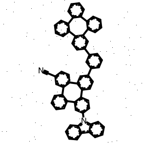 N#Cc1ccc2c(c1)-c1ccccc1-c1cc(-n3c4ccccc4c4ccccc43)ccc1-c1ccc(-c3cccc(-c4ccc5c(c4)-c4ccccc4-c4ccccc4-c4ccccc4-5)c3)cc1-2